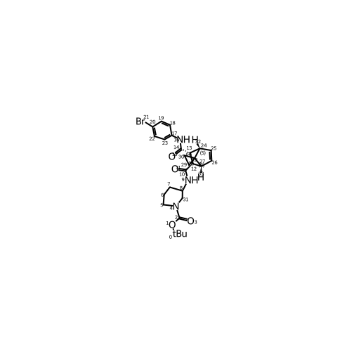 CC(C)(C)OC(=O)N1CCCC(NC(=O)[C@H]2[C@H](C(=O)Nc3ccc(Br)cc3)[C@@H]3C=C[C@H]2C32CC2)C1